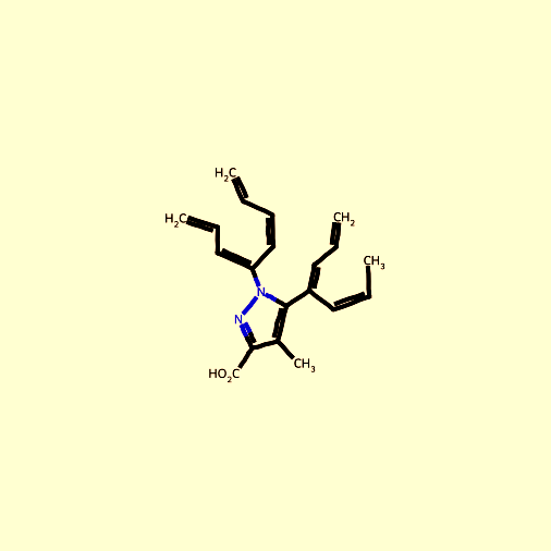 C=C/C=C\C(=C/C=C)n1nc(C(=O)O)c(C)c1C(/C=C\C)=C/C=C